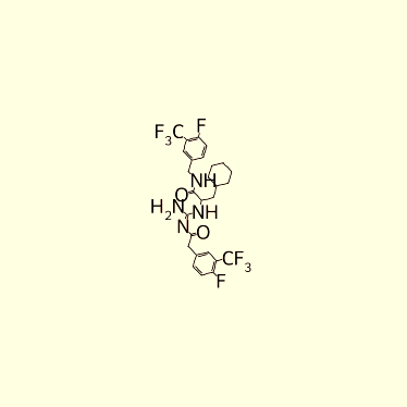 NC(=NC(=O)Cc1ccc(F)c(C(F)(F)F)c1)NC(CC1CCCCC1)C(=O)NCc1ccc(F)c(C(F)(F)F)c1